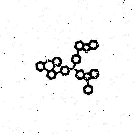 c1ccc(-n2c3ccccc3c3cc(N(c4ccc(-c5cccc6c5-c5ccccc5Oc5ccccc5-6)cc4)c4ccc(-c5cccc6c5oc5ccccc56)cc4)ccc32)cc1